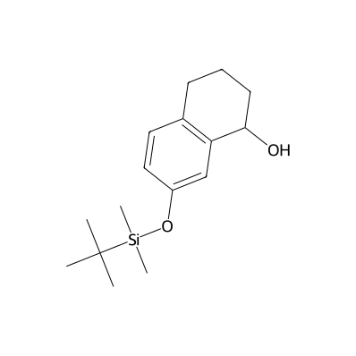 CC(C)(C)[Si](C)(C)Oc1ccc2c(c1)C(O)CCC2